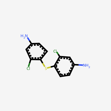 Nc1ccc(Sc2ccc(N)cc2Cl)c(Cl)c1